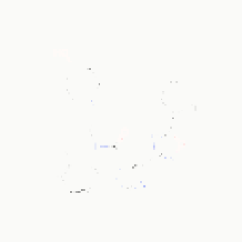 COCC(C)c1nc(-c2ncn3c2c(=O)n(CCN2CCC(O)CC2)c2c(C#N)c(Cl)ccc23)no1